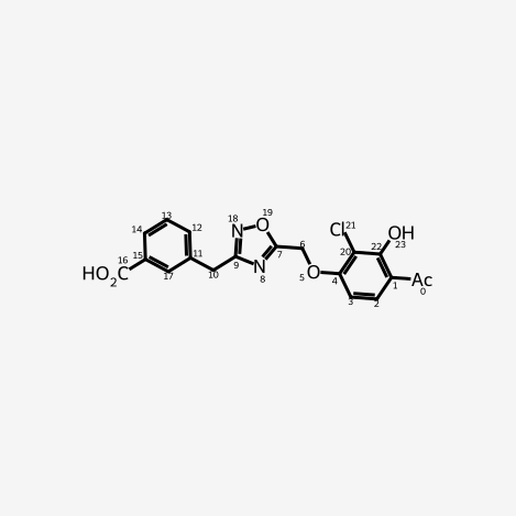 CC(=O)c1ccc(OCc2nc(Cc3cccc(C(=O)O)c3)no2)c(Cl)c1O